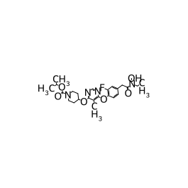 CCN(O)C(=O)Cc1ccc(Oc2ncnc(OC3CCN(C(=O)OC(C)C)CC3)c2C)c(F)c1